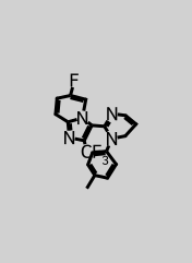 Cc1ccc(N2CC=CN=C2c2c(C(F)(F)F)nc3ccc(F)cn23)cc1